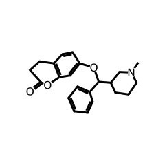 CN1CCCC(C(Oc2ccc3c(c2)OC(=O)CC3)c2ccccc2)C1